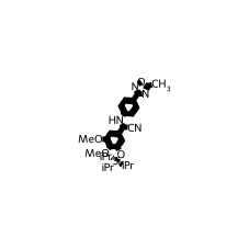 COc1cc(C(C#N)Nc2ccc(-c3noc(C)n3)cc2)cc(O[Si](C(C)C)(C(C)C)C(C)C)c1OC